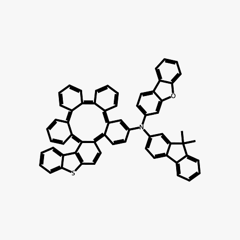 CC1(C)c2ccccc2-c2ccc(N(c3ccc4c(c3)oc3ccccc34)c3ccc4c(c3)c3ccccc3c3ccccc3c3ccccc3c3c4ccc4sc5ccccc5c43)cc21